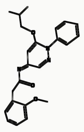 COc1ccccc1CC(=O)N=c1cnn(-c2ccccc2)c(OCC(C)C)c1